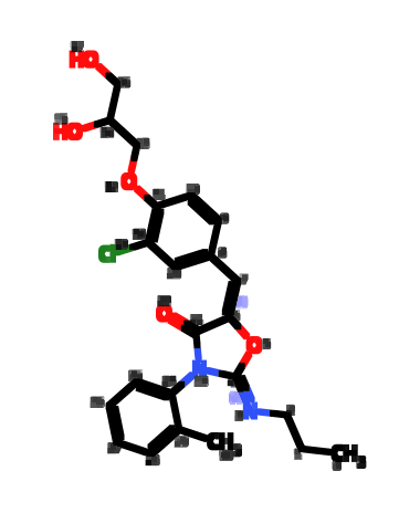 CCC/N=C1\O/C(=C/c2ccc(OCC(O)CO)c(Cl)c2)C(=O)N1c1ccccc1C